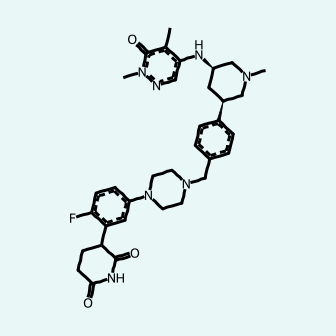 Cc1c(N[C@@H]2C[C@H](c3ccc(CN4CCN(c5ccc(F)c(C6CCC(=O)NC6=O)c5)CC4)cc3)CN(C)C2)cnn(C)c1=O